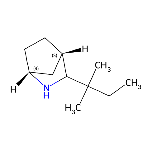 CCC(C)(C)C1N[C@@H]2CC[C@H]1C2